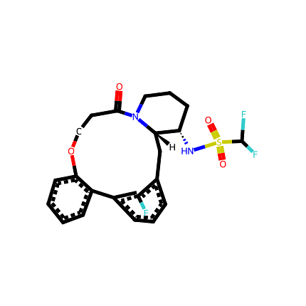 O=C1CCOc2ccccc2-c2cccc(c2F)C[C@H]2[C@@H](NS(=O)(=O)C(F)F)CCCN12